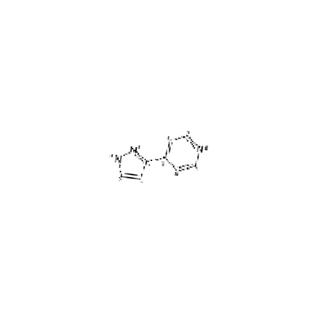 C1=CC(c2ccncc2)=N[N]1